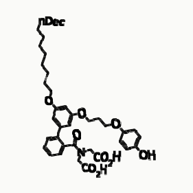 CCCCCCCCCCCCCCCCCCOc1cc(OCCCOc2ccc(O)cc2)cc(-c2ccccc2C(=O)N(CC(=O)O)CC(=O)O)c1